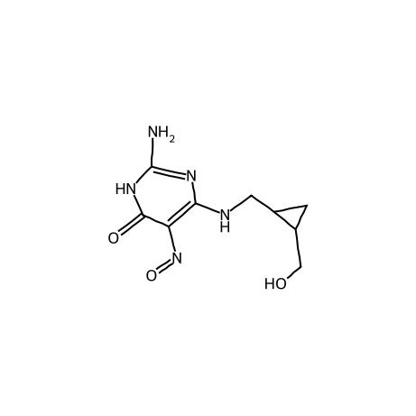 Nc1nc(NCC2CC2CO)c(N=O)c(=O)[nH]1